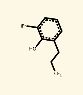 CC(C)c1cccc(CCC(F)(F)F)c1O